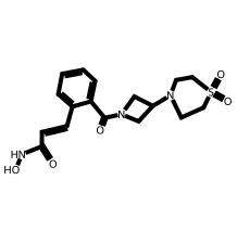 O=C(C=Cc1ccccc1C(=O)N1CC(N2CCS(=O)(=O)CC2)C1)NO